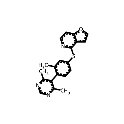 Cc1cc(Sc2nccc3occc23)ccc1-c1c(C)ncnc1C